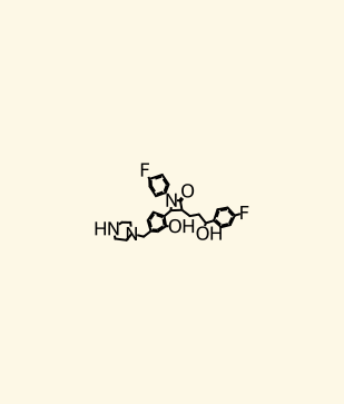 O=C1C(CCC(O)c2ccc(F)cc2)C(c2ccc(CN3CCNCC3)cc2O)N1c1ccc(F)cc1